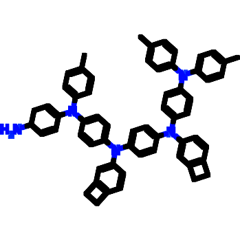 Cc1ccc(N(C2=CCC(N)C=C2)c2ccc(N(c3ccc(N(c4ccc(N(c5ccc(C)cc5)c5ccc(C)cc5)cc4)c4ccc5c(c4)CC5)cc3)c3ccc4c(c3)CC4)cc2)cc1